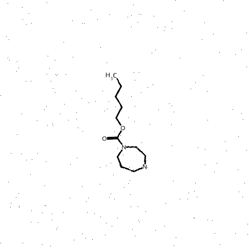 CCCCCOC(=O)N1CCC[N]CC1